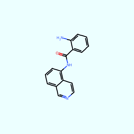 Nc1ccccc1C(=O)Nc1cccc2cnccc12